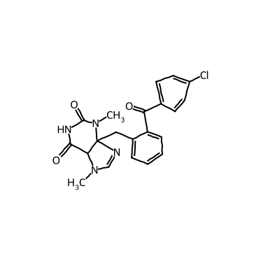 CN1C=NC2(Cc3ccccc3C(=O)c3ccc(Cl)cc3)C1C(=O)NC(=O)N2C